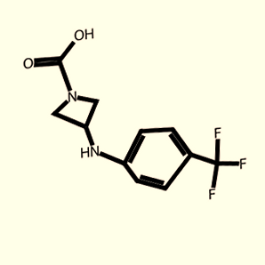 O=C(O)N1CC(Nc2ccc(C(F)(F)F)cc2)C1